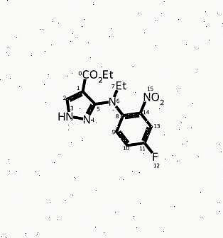 CCOC(=O)c1c[nH]nc1N(CC)c1ccc(F)cc1[N+](=O)[O-]